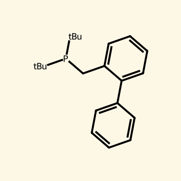 CC(C)(C)P(Cc1ccccc1-c1ccccc1)C(C)(C)C